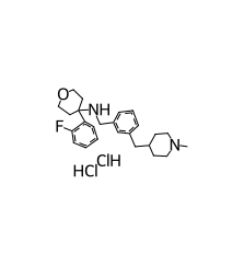 CN1CCC(Cc2cccc(CNC3(c4ccccc4F)CCOCC3)c2)CC1.Cl.Cl